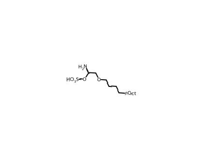 CCCCCCCCCCCCOCC(N)OS(=O)(=O)O